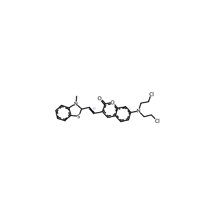 CN1c2ccccc2SC1/C=C/c1cc2ccc(N(CCCl)CCCl)cc2oc1=O